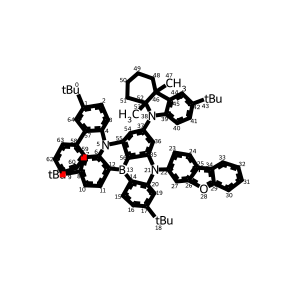 CC(C)(C)c1ccc(N2c3cc(C(C)(C)C)ccc3B3c4ccc(C(C)(C)C)cc4N(c4ccc5c(c4)oc4ccccc45)c4cc(N5c6ccc(C(C)(C)C)cc6C6(C)CCCCC56C)cc2c43)c(-c2ccccc2)c1